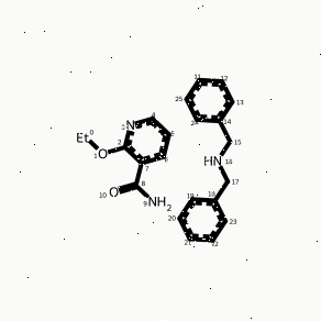 CCOc1ncccc1C(N)=O.c1ccc(CNCc2ccccc2)cc1